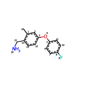 Cc1cc(Oc2ccc(F)cc2)ccc1CN